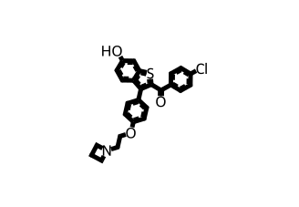 O=C(c1ccc(Cl)cc1)c1sc2cc(O)ccc2c1-c1ccc(OCCN2CCC2)cc1